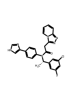 C[C@@H](c1cc(F)cc(Cl)c1)N(C(=O)Cc1nnc2ccccn12)c1ccc(-c2c[nH]cn2)cc1